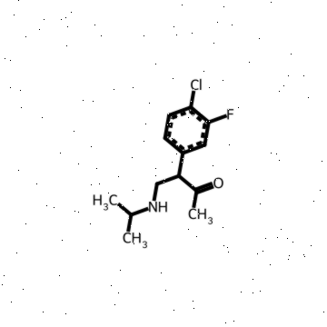 CC(=O)C(CNC(C)C)c1ccc(Cl)c(F)c1